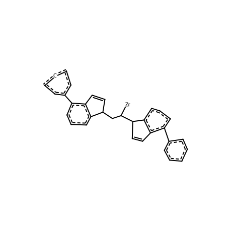 [Zr][CH](CC1C=Cc2c(-c3ccccc3)cccc21)C1C=Cc2c(-c3ccccc3)cccc21